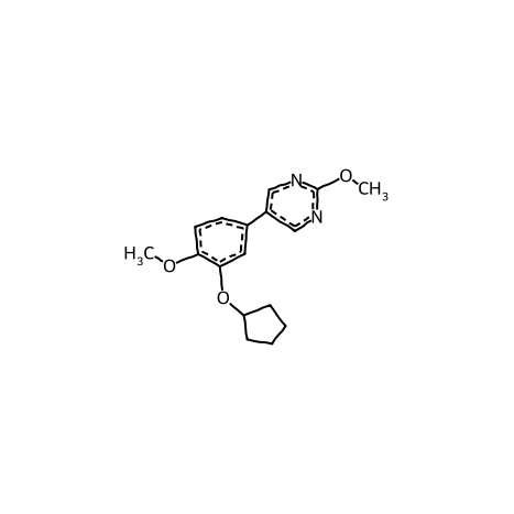 COc1ncc(-c2ccc(OC)c(OC3CCCC3)c2)cn1